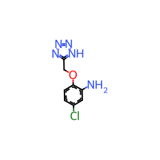 Nc1cc(Cl)ccc1OCc1nnn[nH]1